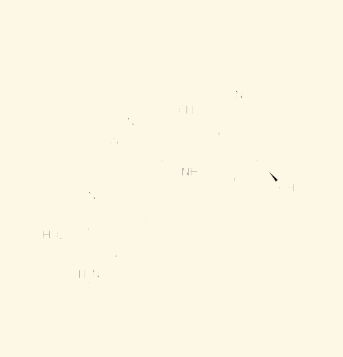 Cc1nc(-c2onc(C)c2NC(=O)O[C@H](C)c2cccnc2)ccc1N